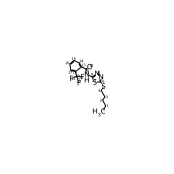 CCCCCSc1nnc(NC(=O)c2ccccc2C(F)(F)F)s1